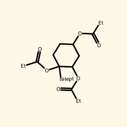 CCCCCCCC1(OC(=O)CC)CCC(OC(=O)CC)CC1OC(=O)CC